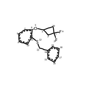 FC1(F)CC(Oc2ccccc2SCc2ccccc2)C1